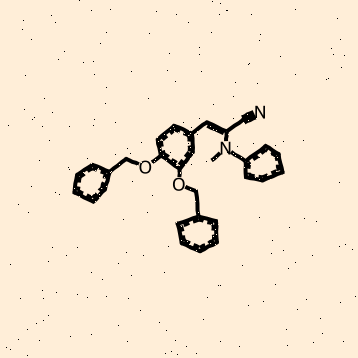 CN(C(C#N)=Cc1ccc(OCc2ccccc2)c(OCc2ccccc2)c1)c1ccccc1